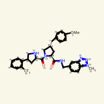 COc1ccc(C[C@@H]2C[C@@H](C(=O)NCc3ccc4c(c3)nnn4C)N(C(=O)[C@H]3CC(c4ccccc4C(F)(F)F)CN3)C2)cc1